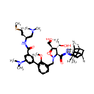 COc1c(CN2O[C@@H](CO)[C@H]([C@H](C)O)[C@H]2C(=O)N[C@H]2C[C@H]3C[C@@H]([C@@H]2C)C3(C)C)cccc1-c1cc(C(=O)N[C@@H](CCSC)CN(C)C)cc(N(C)C)c1